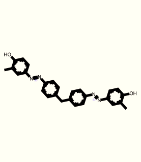 Cc1cc(/N=N/c2ccc(Cc3ccc(/N=N/c4ccc(O)c(C)c4)cc3)cc2)ccc1O